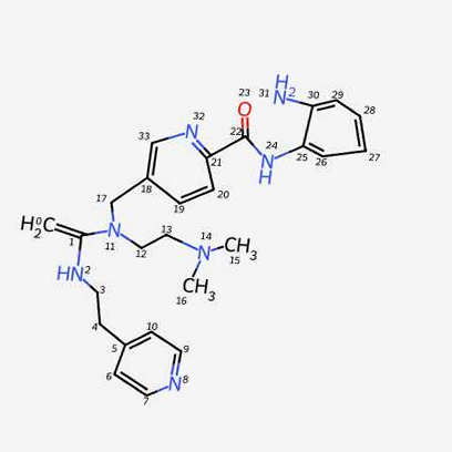 C=C(NCCc1ccncc1)N(CCN(C)C)Cc1ccc(C(=O)Nc2ccccc2N)nc1